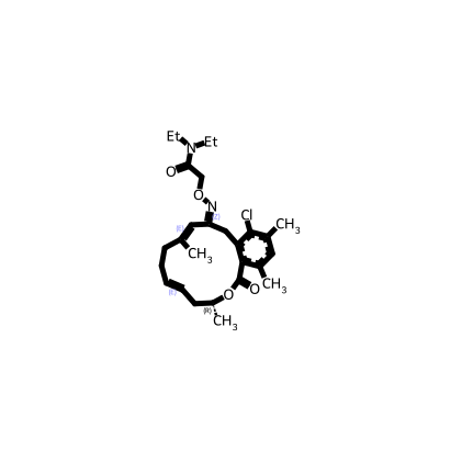 CCN(CC)C(=O)CO/N=C1\C=C(/C)CC/C=C/C[C@@H](C)OC(=O)c2c(C)cc(C)c(Cl)c2C1